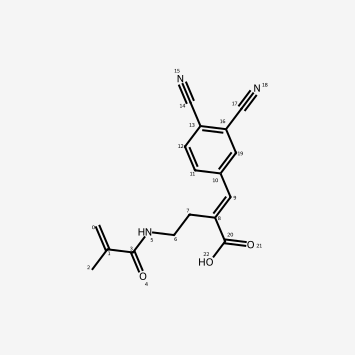 C=C(C)C(=O)NCC/C(=C\c1ccc(C#N)c(C#N)c1)C(=O)O